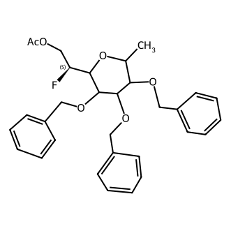 CC(=O)OC[C@H](F)C1OC(C)C(OCc2ccccc2)C(OCc2ccccc2)C1OCc1ccccc1